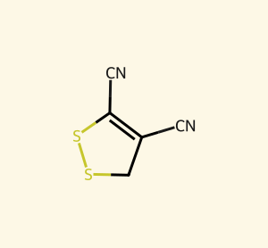 N#CC1=C(C#N)SSC1